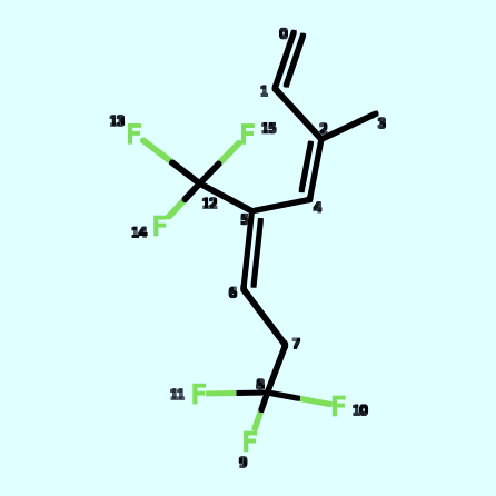 C=C/C(C)=C\C(=C/CC(F)(F)F)C(F)(F)F